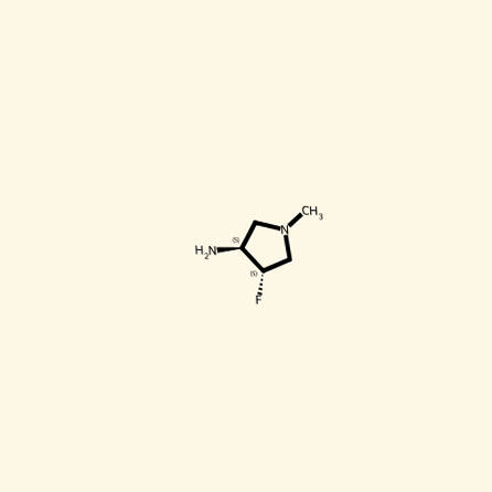 CN1C[C@H](N)[C@@H](F)C1